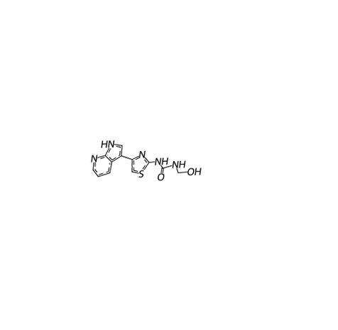 O=C(NCO)Nc1nc(-c2c[nH]c3ncccc23)cs1